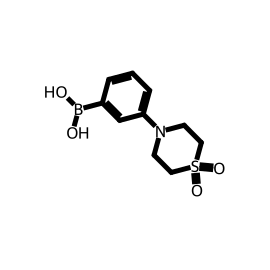 O=S1(=O)CCN(c2cccc(B(O)O)c2)CC1